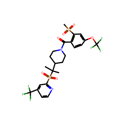 CC(C)(C1CCN(C(=O)c2ccc(OC(F)(F)F)cc2S(C)(=O)=O)CC1)S(=O)(=O)c1cc(C(F)(F)F)ccn1